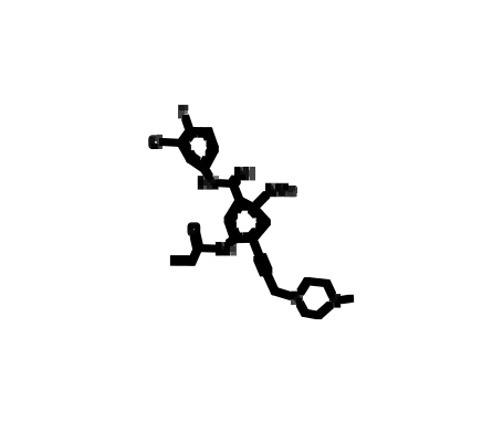 C=CC(=O)Nc1cc(C(=N)Nc2ccc(F)c(Cl)c2)c(NC)cc1C#CCN1CCN(C)CC1